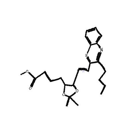 CCCCc1nc2ccccc2nc1/C=C/C1OC(C)(C)OC1CCCC(=O)OC